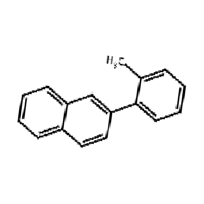 Cc1ccccc1-c1[c]c2ccccc2cc1